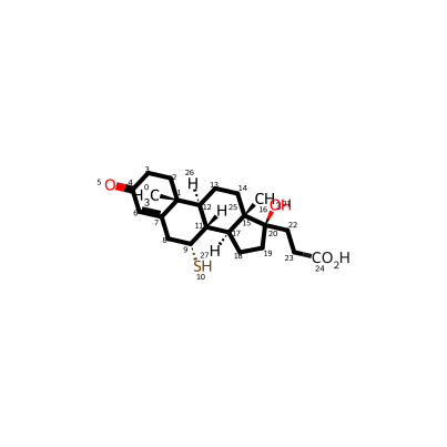 C[C@]12CCC(=O)C=C1C[C@@H](S)[C@@H]1[C@@H]2CC[C@@]2(C)[C@H]1CC[C@@]2(O)CCC(=O)O